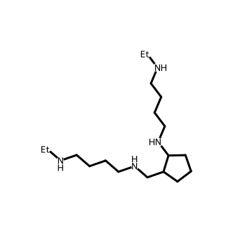 CCNCCCCNCC1CCCC1NCCCCNCC